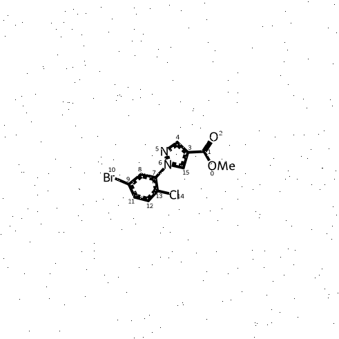 COC(=O)c1cnn(-c2cc(Br)ccc2Cl)c1